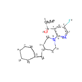 COC(=O)c1cc(F)cnc1N1CCC(CC2CCCCC2)CC1